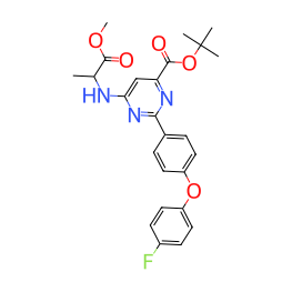 COC(=O)C(C)Nc1cc(C(=O)OC(C)(C)C)nc(-c2ccc(Oc3ccc(F)cc3)cc2)n1